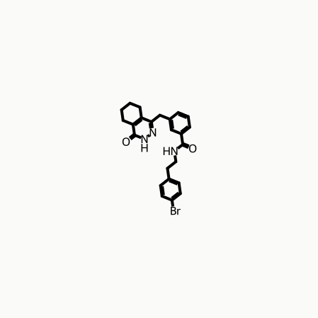 O=C(NCCc1ccc(Br)cc1)c1cccc(Cc2n[nH]c(=O)c3c2CCCC3)c1